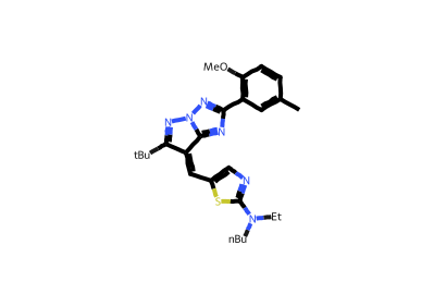 CCCCN(CC)c1ncc(/C=c2/c(C(C)(C)C)nn3nc(-c4cc(C)ccc4OC)nc23)s1